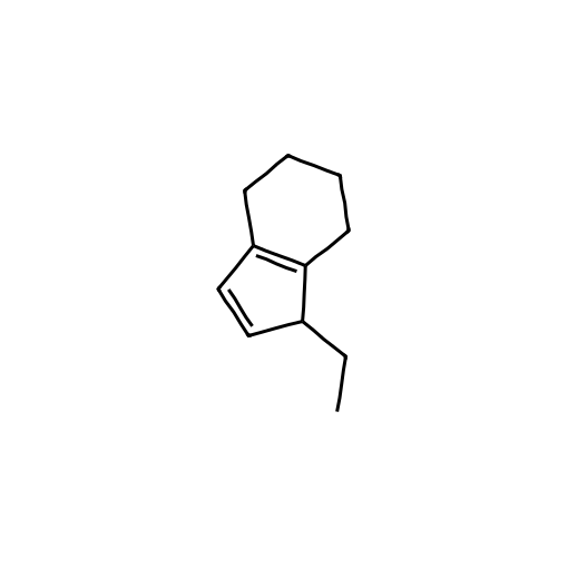 CCC1C=CC2=C1CCCC2